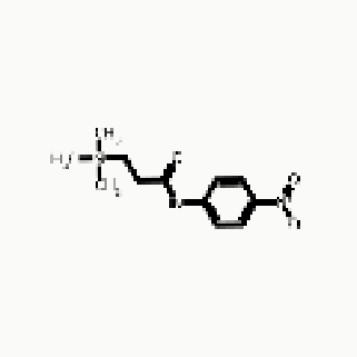 C[Si](C)(C)CCC(=O)Nc1ccc([N+](=O)[O-])cc1